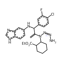 C=C(C(Nc1ccc2[nH]cnc2c1)c1ccc(Cl)c(F)c1)N(/N=N\N)C1CCCCC1C(=O)OCC